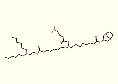 CCCCCCC(CCCCCC)CCOC(=O)CCCCCCCC(CCCCCCCC(=O)OC1CC2CCC(C2)C1)OC(=O)CCCN(C)C